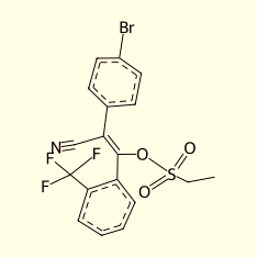 CCS(=O)(=O)OC(=C(C#N)c1ccc(Br)cc1)c1ccccc1C(F)(F)F